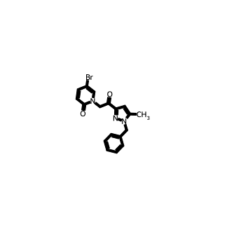 Cc1cc(C(=O)Cn2cc(Br)ccc2=O)nn1Cc1ccccc1